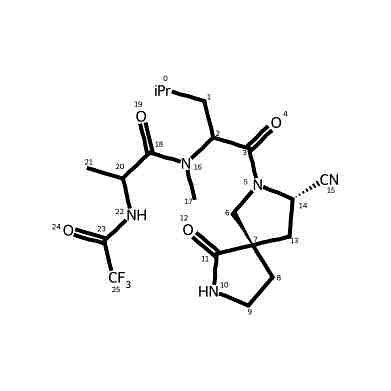 CC(C)CC(C(=O)N1C[C@]2(CCNC2=O)C[C@H]1C#N)N(C)C(=O)C(C)NC(=O)C(F)(F)F